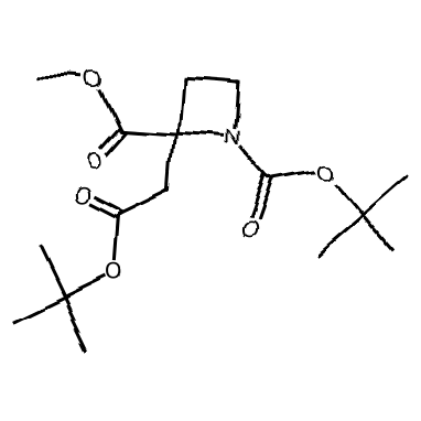 COC(=O)C1(CC(=O)OC(C)(C)C)CCN1C(=O)OC(C)(C)C